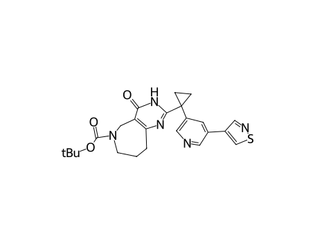 CC(C)(C)OC(=O)N1CCCc2nc(C3(c4cncc(-c5cnsc5)c4)CC3)[nH]c(=O)c2C1